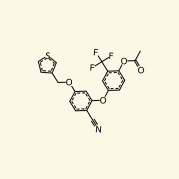 CC(=O)Oc1ccc(Oc2cc(OCc3ccsc3)ccc2C#N)cc1C(F)(F)F